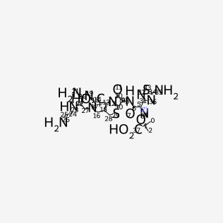 CC(C)(O/N=C(\C(=O)N[C@@H]1C(=O)N2C(C(=O)O)=C(C[n+]3cnc(N)c(NCCN)c3)CSC12)c1nsc(N)n1)C(=O)O